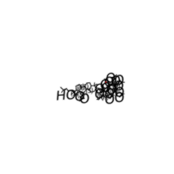 CC[C@H]1O[C@@H](OC2CC[C@]3(C)C(CC[C@@]4(C)C3C[C@H](OC(C)=O)C3C([C@@](C)(O)CCC=C(C)C)CC[C@@]34C)C2(C)C)[C@H](OC2O[C@H](COC(C)=O)[C@@H](OC(C)=O)[C@H](OC(C)=O)[C@H]2OC(C)=O)[C@@H](OC(C)=O)[C@@H]1C